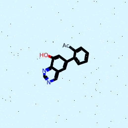 CC(=O)c1ccccc1-c1cc(O)c2ncncc2c1